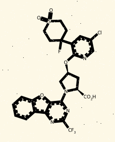 O=C(O)[C@@H]1C[C@H](Oc2ncc(Cl)cc2C2(F)CCS(=O)(=O)CC2)CN1c1nc(C(F)(F)F)nc2c1oc1ccccc12